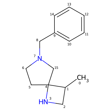 CC1CNC12CCN(Cc1ccccc1)C2